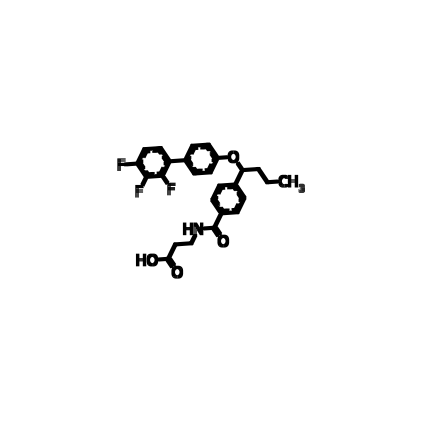 CCCC(Oc1ccc(-c2ccc(F)c(F)c2F)cc1)c1ccc(C(=O)NCCC(=O)O)cc1